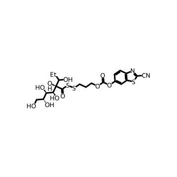 CCC(O)[C@](O)(C(=O)SSCCCOC(=O)Oc1ccc2nc(C#N)sc2c1)[C@@H](O)[C@H](O)[C@H](O)CO